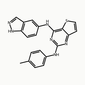 Cc1ccc(Nc2nc(Nc3ccc4[nH]ncc4c3)c3sccc3n2)cc1